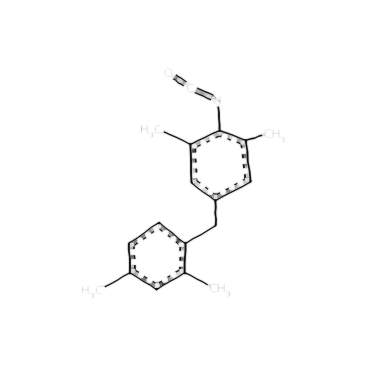 Cc1ccc(Cc2cc(C)c(N=C=O)c(C)c2)c(C)c1